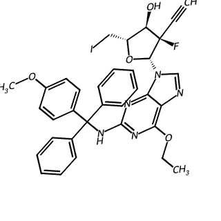 C#C[C@@]1(F)[C@H](O)[C@@H](CI)O[C@H]1n1cnc2c(OCC)nc(NC(c3ccccc3)(c3ccccc3)c3ccc(OC)cc3)nc21